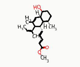 C/C=C(/C)C1C(C)=C[C@@H]2[C@H]([C@@H]1/C=C/C=C/C(=O)OC)[C@@H](C)CC[C@@H]2O